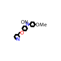 COc1ccc(N(N=O)c2ccc(OCc3cccnc3)cc2)cc1